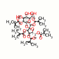 C=C(C)C(=O)OC[C@H]1O[C@@](COC(=O)C(=C)C)(O[C@H]2O[C@H](CO)[C@@H](O)[C@H](O)[C@H]2OC(=O)C(=C)C)[C@@H](OC(=O)C(=C)C)[C@@H]1OC(=O)C(=C)C